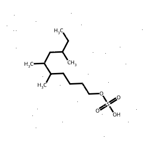 CCC(C)CC(C)C(C)CCCCOS(=O)(=O)O